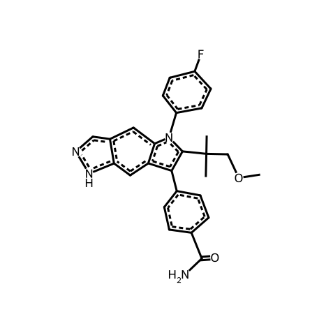 COCC(C)(C)c1c(-c2ccc(C(N)=O)cc2)c2cc3[nH]ncc3cc2n1-c1ccc(F)cc1